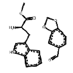 COC(=O)C(N)Cc1c[nH]c2ccccc12.O=Cc1ccc2c(c1)OCO2